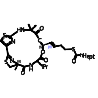 CCCCCCCC(=O)SCC/C=C/[C@@H]1CC(=O)C(C)(C)NCc2nc(cs2)C2=N[C@@](C)(CS2)C(=O)NC(C(C)C)C(=O)O1